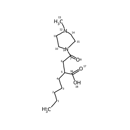 CCCCCC(CC(=O)N1CCN(C)CC1)C(=O)O